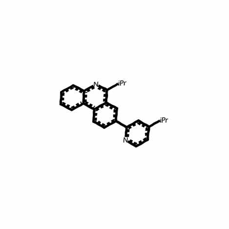 CC(C)c1ccnc(-c2ccc3c(c2)c(C(C)C)nc2ccccc23)c1